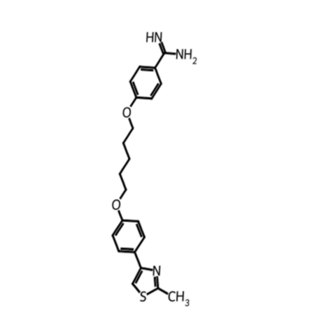 Cc1nc(-c2ccc(OCCCCCOc3ccc(C(=N)N)cc3)cc2)cs1